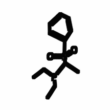 CCP(CC)C(C)S(=O)(=O)c1ccccc1